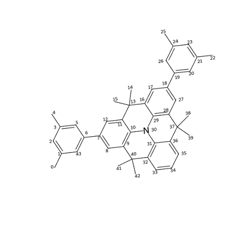 Cc1cc(C)cc(-c2cc3c4c(c2)C(C)(C)c2cc(-c5cc(C)cc(C)c5)cc5c2N4c2c(cccc2C5(C)C)C3(C)C)c1